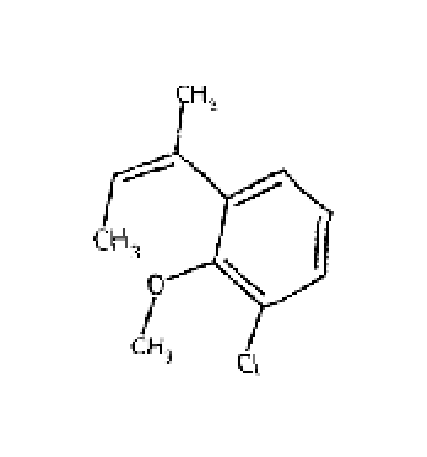 C/C=C(/C)c1cccc(Cl)c1OC